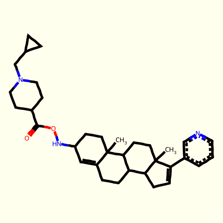 CC12CCC(NOC(=O)C3CCN(CC4CC4)CC3)C=C1CCC1C2CCC2(C)C(c3cccnc3)=CCC12